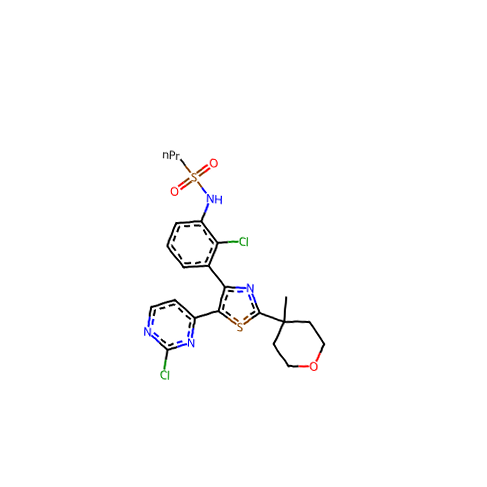 CCCS(=O)(=O)Nc1cccc(-c2nc(C3(C)CCOCC3)sc2-c2ccnc(Cl)n2)c1Cl